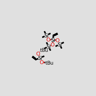 C=C[Si](C)(OC(C)(C)C)OC(C)(C)C.C=C[Si](O[Si](C)(C)C)(O[Si](C)(C)C)O[Si](C)(C)C